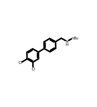 CCCCNCc1ccc(-c2ccc(Cl)c(Cl)c2)cc1